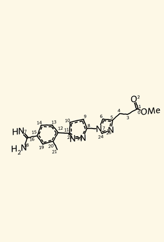 COC(=O)CCc1cn(-c2ccc(-c3ccc(C(=N)N)cc3C)nn2)cn1